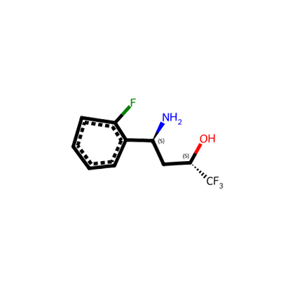 N[C@@H](C[C@H](O)C(F)(F)F)c1ccccc1F